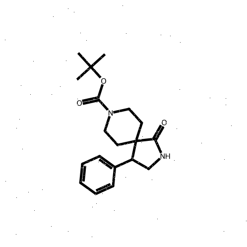 CC(C)(C)OC(=O)N1CCC2(CC1)C(=O)NCC2c1ccccc1